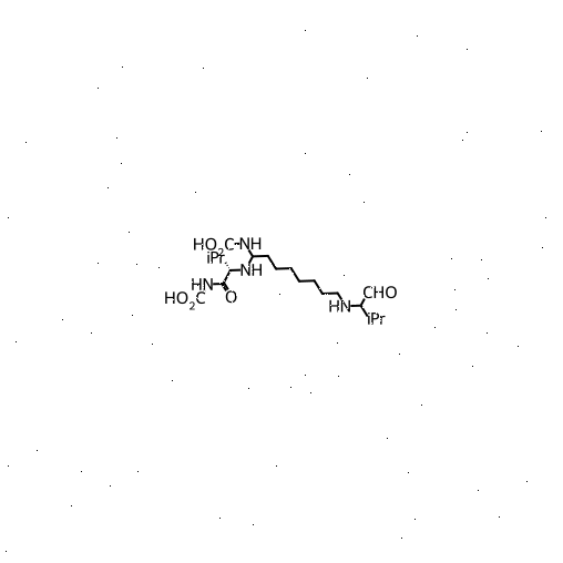 CC(C)C(C=O)NCCCCCCCC(NC(=O)O)N[C@H](C(=O)NC(=O)O)C(C)C